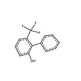 Oc1cccc(C(F)(F)F)c1-c1ccccc1